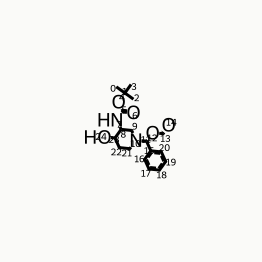 CC(C)(C)OC(=O)NC1CN(C(OC=O)c2ccccc2)CCC1O